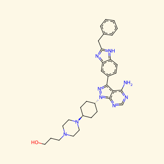 Nc1ncnc2c1c(-c1ccc3[nH]c(Cc4ccccc4)nc3c1)nn2[C@H]1CC[C@H](N2CCN(CCCO)CC2)CC1